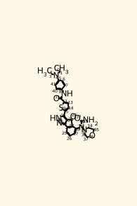 CCN(CC)c1ccc(NC(=O)c2ccc(-c3[nH]nc4c3C(=O)c3c-4cccc3N(C(N)=O)N3CCOCC3)s2)cc1